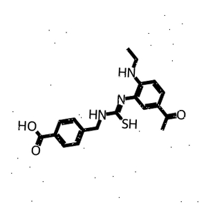 CCNc1ccc(C(C)=O)cc1N=C(S)NCc1ccc(C(=O)O)cc1